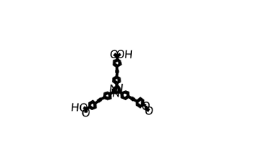 O=COc1ccc(C#Cc2ccc(-c3nc(-c4ccc(C#Cc5ccc(C(=O)O)cc5)cc4)nc(-c4ccc(C#Cc5ccc(C(=O)O)cc5)cc4)n3)cc2)cc1